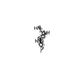 CCOc1ccc(NS(=O)(=O)c2ccc3[nH]cc(CCNC)c3c2)cc1